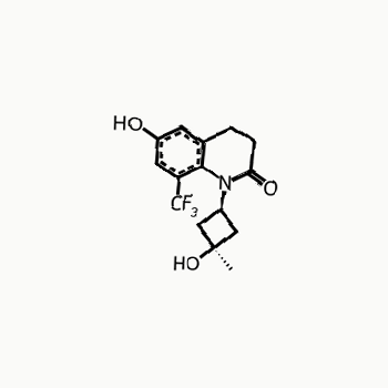 C[C@]1(O)C[C@@H](N2C(=O)CCc3cc(O)cc(C(F)(F)F)c32)C1